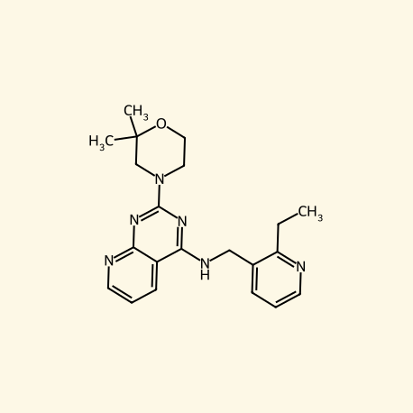 CCc1ncccc1CNc1nc(N2CCOC(C)(C)C2)nc2ncccc12